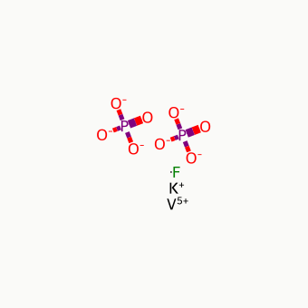 O=P([O-])([O-])[O-].O=P([O-])([O-])[O-].[F].[K+].[V+5]